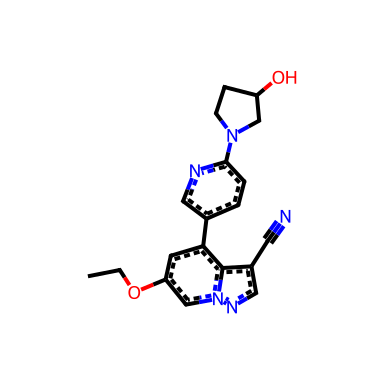 CCOc1cc(-c2ccc(N3CCC(O)C3)nc2)c2c(C#N)cnn2c1